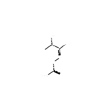 CNC(=O)ON=C(C(C)SC)C(C)(C)C